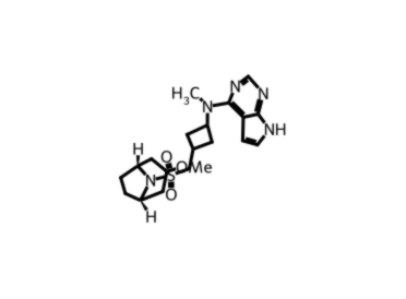 COC1C[C@H]2CC[C@@H](C1)N2S(=O)(=O)CC1CC(N(C)c2ncnc3[nH]ccc23)C1